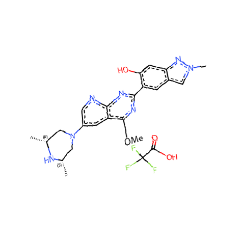 COc1nc(-c2cc3cn(C)nc3cc2O)nc2ncc(N3C[C@@H](C)N[C@@H](C)C3)cc12.O=C(O)C(F)(F)F